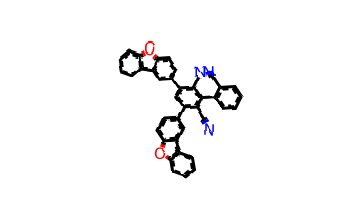 N#Cc1ccccc1-c1c(C#N)c(-c2ccc3oc4ccccc4c3c2)cc(-c2ccc3oc4ccccc4c3c2)c1C#N